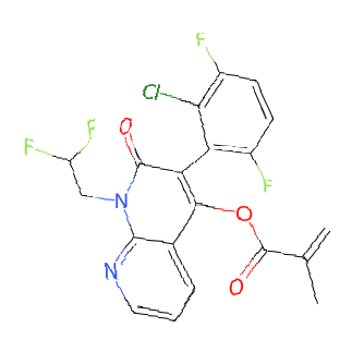 C=C(C)C(=O)Oc1c(-c2c(F)ccc(F)c2Cl)c(=O)n(CC(F)F)c2ncccc12